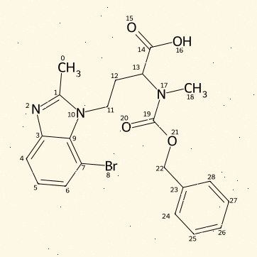 Cc1nc2cccc(Br)c2n1CCC(C(=O)O)N(C)C(=O)OCc1ccccc1